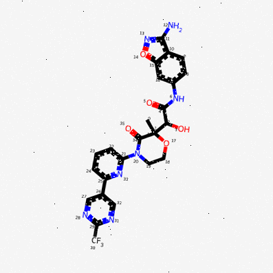 CC1(C(O)C(=O)Nc2ccc3c(N)noc3c2)OCCN(c2cccc(-c3cnc(C(F)(F)F)nc3)n2)C1=O